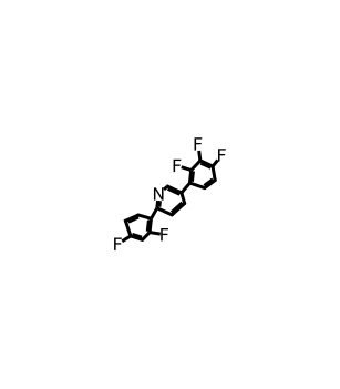 Fc1ccc(-c2ccc(-c3ccc(F)c(F)c3F)cn2)c(F)c1